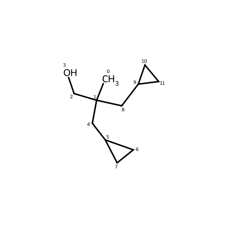 CC(CO)(CC1CC1)CC1CC1